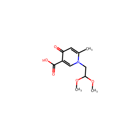 COC(Cn1cc(C(=O)O)c(=O)cc1C)OC